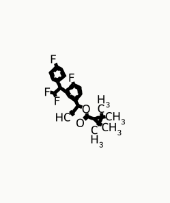 C#CC(OC(=O)C1C(C)(C)C1(C)C)c1ccc(F)c(C(c2ccc(F)cc2)C(F)F)c1